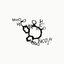 COC(=O)Nc1ccc2c(c1)NC(=O)[C@H](C)C(=O)CC[C@H](N(C(=O)O)C(C)(C)C)c1cc-2ccn1